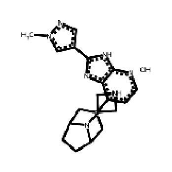 Cl.Cn1cc(-c2nc3c(N4CC5CCC(C4)N5C4CNC4)ccnc3[nH]2)cn1